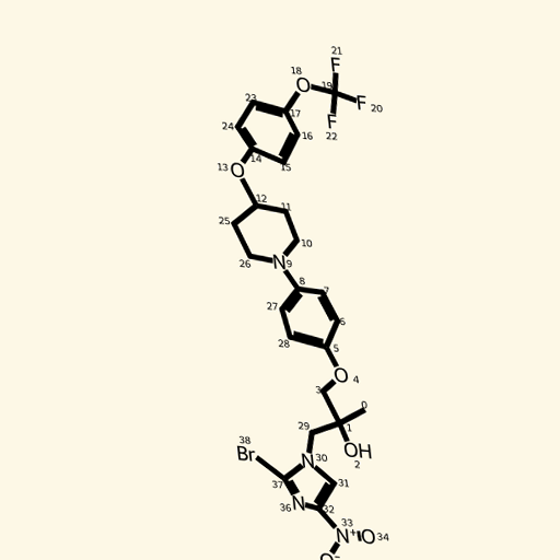 CC(O)(COc1ccc(N2CCC(Oc3ccc(OC(F)(F)F)cc3)CC2)cc1)Cn1cc([N+](=O)[O-])nc1Br